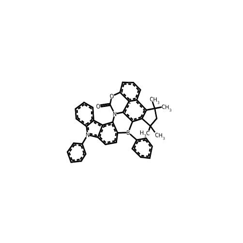 CC1(C)CC(C)(C)c2c1c1c3c4c(cccc24)OC(=O)N3c2c(ccc3c2c2ccccc2n3-c2ccccc2)B1c1ccccc1